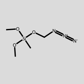 CO[Si](C)(OC)OCN=[N+]=[N-]